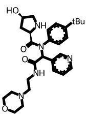 CC(C)(C)c1ccc(N(C(=O)[C@H]2C[C@@H](O)CN2)C(C(=O)NCCN2CCOCC2)c2cccnc2)cc1